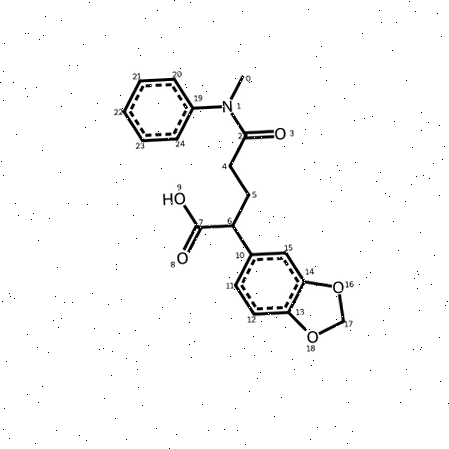 CN(C(=O)CCC(C(=O)O)c1ccc2c(c1)OCO2)c1ccccc1